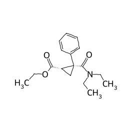 CCOC(=O)[C@H]1C[C@]1(C(=O)N(CC)CC)c1ccccc1